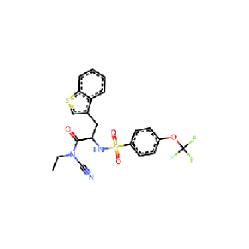 CCN(C#N)C(=O)C(Cc1csc2ccccc12)NS(=O)(=O)c1ccc(OC(F)(F)F)cc1